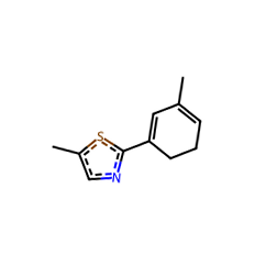 CC1=CCCC(c2ncc(C)s2)=C1